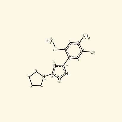 COc1cc(N)c(Cl)cc1-c1noc(N2CCCC2)n1